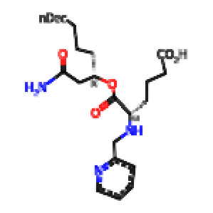 CCCCCCCCCCCCC[C@@H](CC(N)=O)OC(=O)[C@H](CCCC(=O)O)NCc1ccccn1